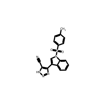 Cc1ccc(S(=O)(=O)n2cc(-c3nn[nH]c3C#N)c3ccccc32)cc1